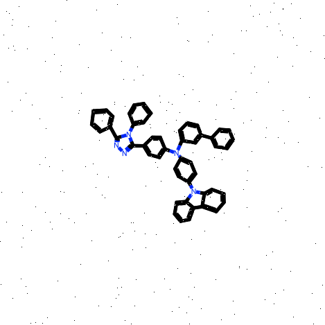 c1ccc(-c2cccc(N(c3ccc(-c4nnc(-c5ccccc5)n4-c4ccccc4)cc3)c3ccc(-n4c5ccccc5c5ccccc54)cc3)c2)cc1